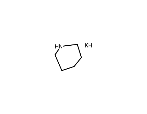 C1CCNCC1.[KH]